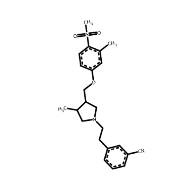 Cc1cc(OCC2CN(CCc3cccc(C#N)c3)CC2C)ccc1S(C)(=O)=O